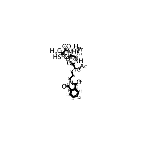 CC(=O)S[C@H](CCCN1C(=O)c2ccccc2C1=O)C(=O)N[C@@H](CC(C)C)C(=O)NC(C(=O)O)C(C)(C)S